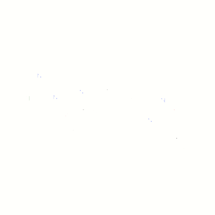 CC(C)(C)OC(=O)N(CC12CCC(c3noc(C(C)(C)F)n3)(CC1)CC2)c1ccnc(Cl)n1